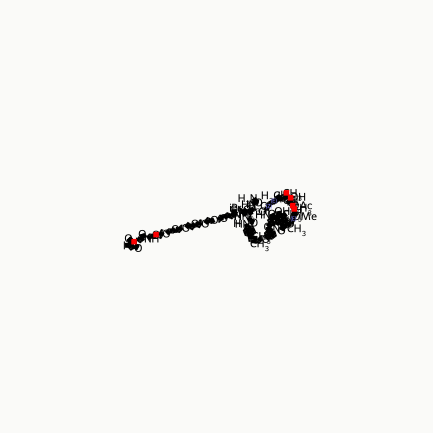 CO[C@H]1/C=C/O[C@@]2(C)Oc3c(C)c(O)c4c(=O)c(c5oc6cc(OCC[N+](C)(C)Cc7ccc(NC(=O)[C@H](CCCNC(N)=O)NC(=O)[C@@H](NC(=O)CCOCCOCCOCCOCCOCCOCCOCCOCCNC(=O)CCN8C(=O)CC(I)C8=O)C(C)C)cc7)ccc6nc-5c4c3C2=O)NC(=O)/C(C)=C\C=C\[C@H](C)[C@@H]2O[C@H]([C@H](O)[C@@H]2C)[C@H](OC(C)=O)[C@@H]1C